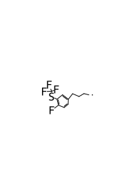 [CH2]CCCc1ccc(F)c(SC(F)(F)F)c1